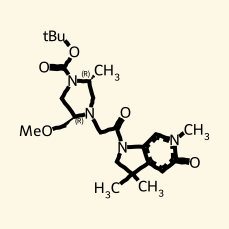 COC[C@H]1CN(C(=O)OC(C)(C)C)[C@H](C)CN1CC(=O)N1CC(C)(C)c2cc(=O)n(C)cc21